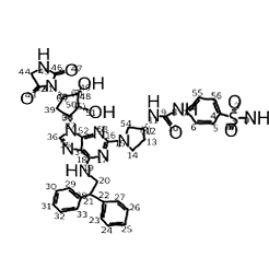 NS(=O)(=O)c1ccc(NC(=O)N[C@@H]2CCN(c3nc(NCC(c4ccccc4)c4ccccc4)c4ncn([C@@H]5C[C@H](N6C(=O)CNC6=O)[C@@H](O)[C@H]5O)c4n3)C2)cc1